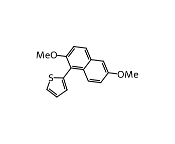 COc1ccc2c(-c3cccs3)c(OC)ccc2c1